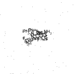 CC(C)C1CCN2c3nc(OC[C@@]45CCCN4C[C@H](F)C5)nc4c(F)c(-c5ccc(F)c6sc(N)c(C#N)c56)c(Cl)c(c34)OCCC2CO1